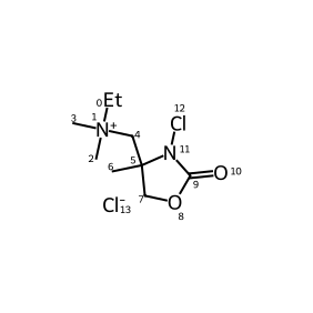 CC[N+](C)(C)CC1(C)COC(=O)N1Cl.[Cl-]